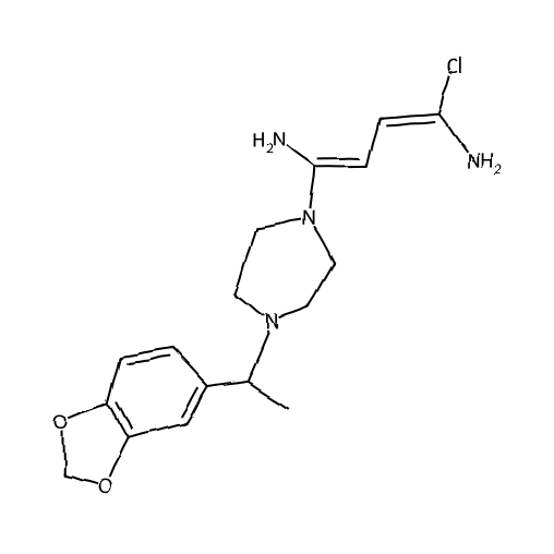 CC(c1ccc2c(c1)OCO2)N1CCN(/C(N)=C/C=C(\N)Cl)CC1